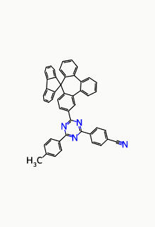 Cc1ccc(-c2nc(-c3ccc(C#N)cc3)nc(-c3ccc4c(c3)-c3ccccc3-c3ccccc3C43c4ccccc4-c4ccccc43)n2)cc1